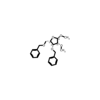 CO[C@@H]1O[C@@H](COCc2ccccc2)[C@@H](OCc2ccccc2)[C@H]1OC